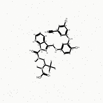 CN(CC(N(C)C(=O)O)C(C)(C)C)C(=O)n1nc(COc2ccc(Cl)c(Oc3cc(Cl)cc(C#N)c3)c2)c2cccnc21